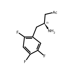 CC(=O)C[C@@H](N)Cc1cc(F)c(F)cc1F